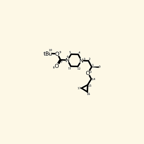 C[C@H](CN1CCN(C(=O)OC(C)(C)C)CC1)OCC1CC1